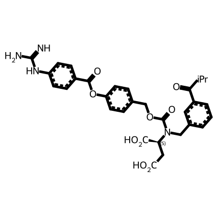 CC(C)C(=O)c1cccc(CN(C(=O)OCc2ccc(OC(=O)c3ccc(NC(=N)N)cc3)cc2)[C@@H](CC(=O)O)C(=O)O)c1